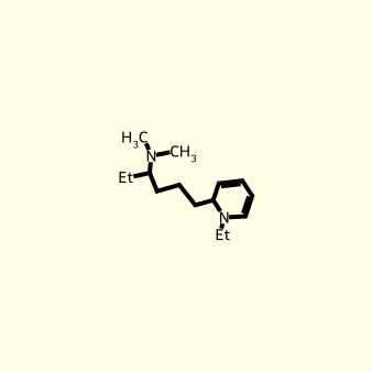 CCC(CCCC1C=CC=CN1CC)N(C)C